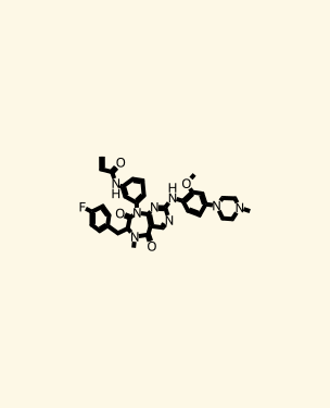 C=CC(=O)Nc1cccc(N2C(=O)C(Cc3ccc(F)cc3)N(C)C(=O)c3cnc(Nc4ccc(N5CCN(C)CC5)cc4OC)nc32)c1